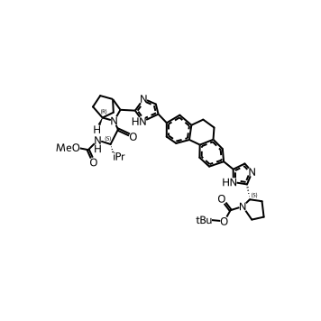 COC(=O)N[C@H](C(=O)N1C(c2ncc(-c3ccc4c(c3)CCc3cc(-c5cnc([C@@H]6CCCN6C(=O)OC(C)(C)C)[nH]5)ccc3-4)[nH]2)C2CC[C@@H]1C2)C(C)C